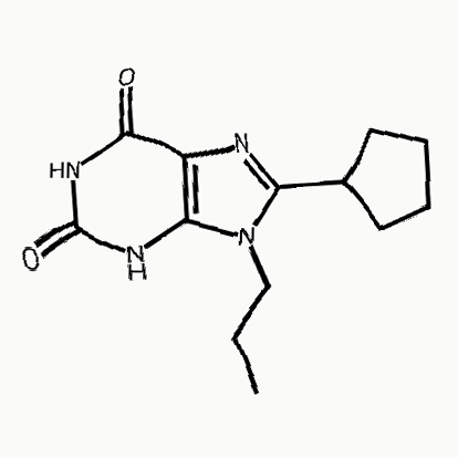 CCCn1c(C2CCCC2)nc2c(=O)[nH]c(=O)[nH]c21